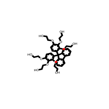 OCCOc1ccc(C2(c3ccc(OCCO)c(OCCO)c3OCCO)c3ccccc3-c3ccccc32)c(OCCO)c1OCCO